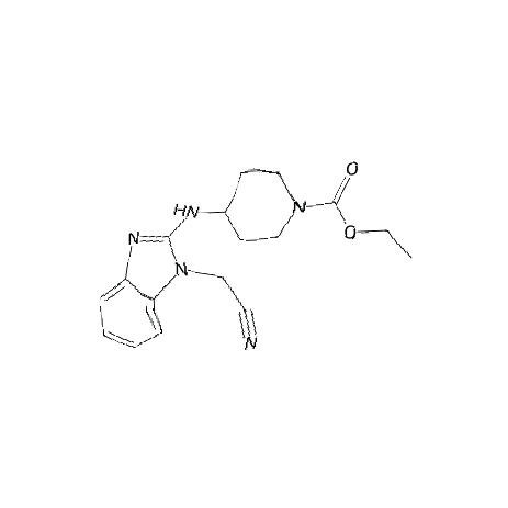 CCOC(=O)N1CCC(Nc2nc3ccccc3n2CC#N)CC1